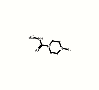 CCCCNC(=O)N1CCN(I)CC1